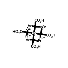 CCC[C](C(C)=O)(C(=O)O)[Zr]([C](CCC)(C(C)=O)C(=O)O)([C](CCC)(C(C)=O)C(=O)O)[C](CCC)(C(C)=O)C(=O)O